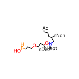 CCCCCCCCCCCN(CC(CCCCCCCCC)CCCC(C)=O)OC(CCCCCCC)CCOCCCPO